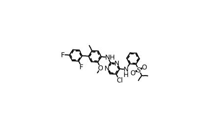 COc1cc(-c2ccc(F)cc2F)c(C)cc1Nc1ncc(Cl)c(Nc2ccccc2S(=O)(=O)C(C)C)n1